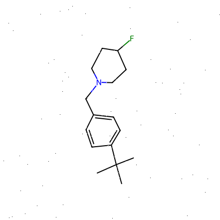 CC(C)(C)c1ccc(CN2CCC(F)CC2)cc1